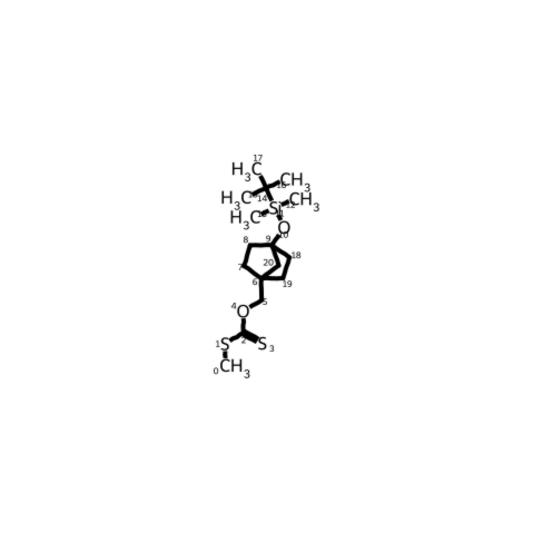 CSC(=S)OCC12CCC(O[Si](C)(C)C(C)(C)C)(CC1)C2